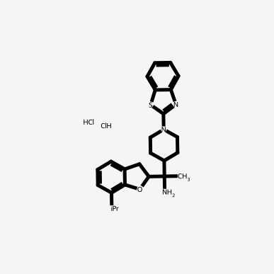 CC(C)c1cccc2c1OC(C(C)(N)C1CCN(c3nc4ccccc4s3)CC1)C2.Cl.Cl